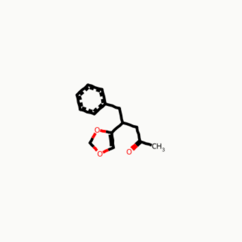 CC(=O)CC(Cc1ccccc1)C1=COCO1